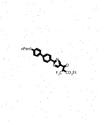 CCCCCc1ccc(-c2ccc(-c3ncc(C(=O)C(C(=O)OCC)C(F)(F)F)cn3)cc2)cc1